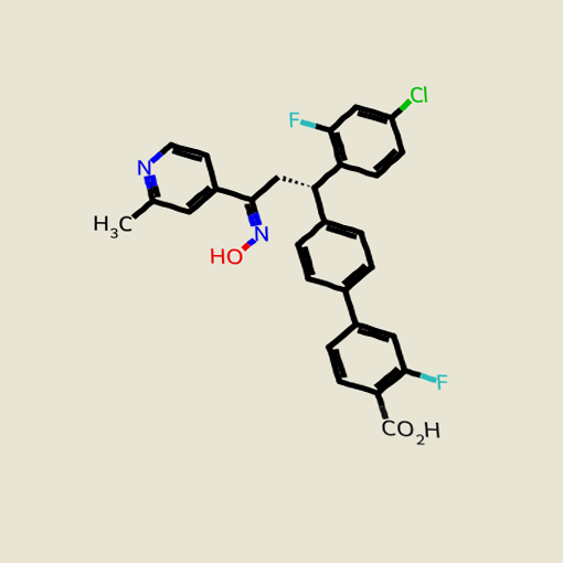 Cc1cc(C(C[C@@H](c2ccc(-c3ccc(C(=O)O)c(F)c3)cc2)c2ccc(Cl)cc2F)=NO)ccn1